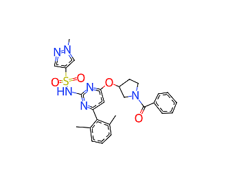 Cc1cccc(C)c1-c1cc(OC2CCN(C(=O)c3ccccc3)C2)nc(NS(=O)(=O)c2cnn(C)c2)n1